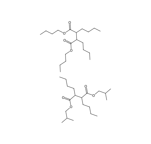 CCCCC(C(=O)OCC(C)C)C(CCCC)C(=O)OCC(C)C.CCCCOC(=O)C(CCCC)C(CCCC)C(=O)OCCCC